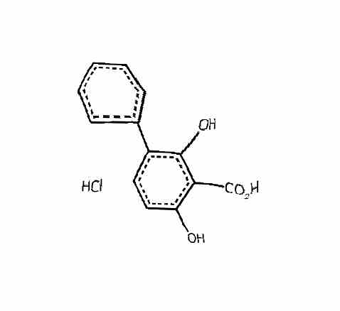 Cl.O=C(O)c1c(O)ccc(-c2ccccc2)c1O